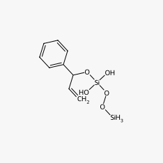 C=CC(O[Si](O)(O)OO[SiH3])c1ccccc1